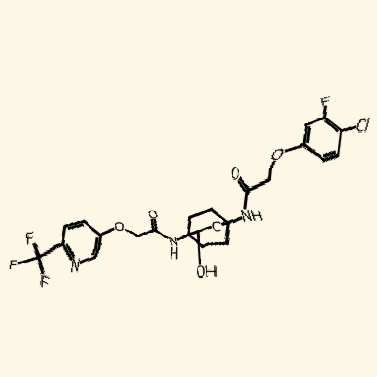 O=C(COc1ccc(Cl)c(F)c1)NC12CCC(NC(=O)COc3ccc(C(F)(F)F)nc3)(CC1)C(O)C2